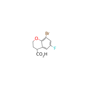 O=C(O)C1CCOc2c(Br)cc(F)cc21